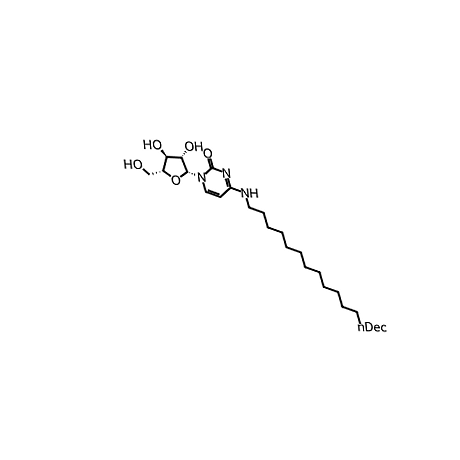 CCCCCCCCCCCCCCCCCCCCCCNc1ccn([C@@H]2O[C@H](CO)[C@@H](O)[C@@H]2O)c(=O)n1